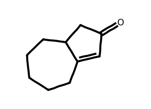 O=C1C=C2CCCCCC2C1